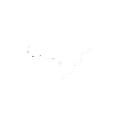 CCCCC(CCC)OC(=O)CCCCC(=O)O